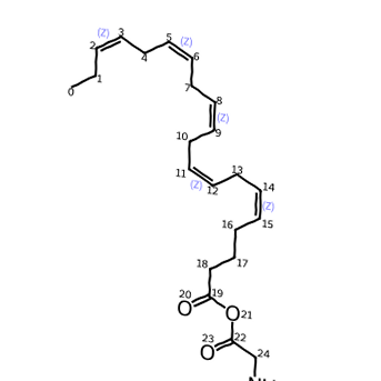 CC/C=C\C/C=C\C/C=C\C/C=C\C/C=C\CCCC(=O)OC(=O)CN